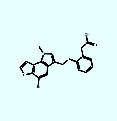 Cn1nc(COc2ccccc2CC(=O)O)c2cc(Br)c3occc3c21